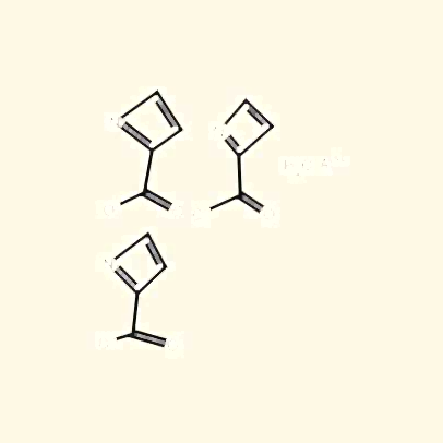 O.O=C([O-])C1=NC=C1.O=C([O-])C1=NC=C1.O=C([O-])C1=NC=C1.[Al+3]